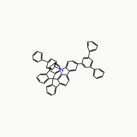 c1ccc(-c2ccc(-n3c4ccc(-c5cc(-c6ccccc6)cc(-c6ccccc6)c5)cc4c4ccc5c(c43)C3(c4ccccc4-c4ccccc43)c3ccccc3-5)cc2)cc1